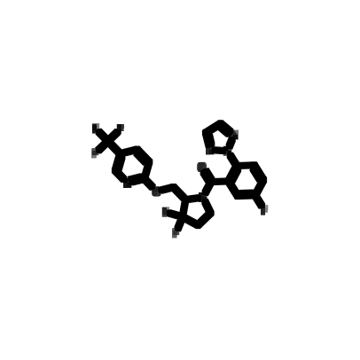 O=C(c1cc(F)ccc1-n1nccn1)N1CCC(F)(F)C1COc1ccc(C(F)(F)F)cn1